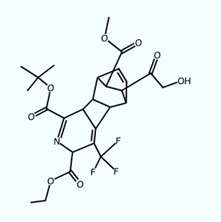 CCOC(=O)C1N=C(C(=O)OC(C)(C)C)C2C(=C1C(F)(F)F)C1C3C=CC(C(C(=O)OC)C3C(=O)CO)C21